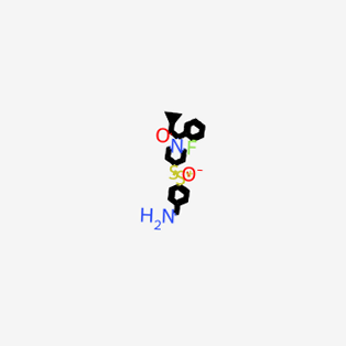 NCc1ccc([S+]([O-])SC2CCN(C(C(=O)C3CC3)c3ccccc3F)CC2)cc1